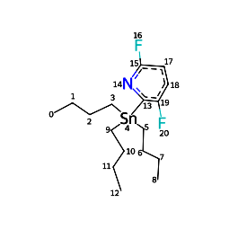 CCC[CH2][Sn]([CH2]CCC)([CH2]CCC)[c]1nc(F)ccc1F